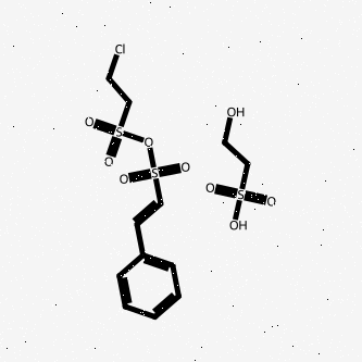 O=S(=O)(C=Cc1ccccc1)OS(=O)(=O)CCCl.O=S(=O)(O)CCO